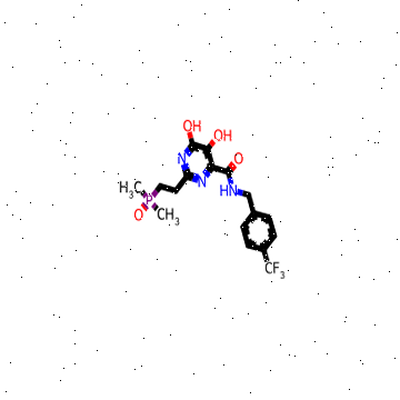 CP(C)(=O)CCc1nc(O)c(O)c(C(=O)NCc2ccc(C(F)(F)F)cc2)n1